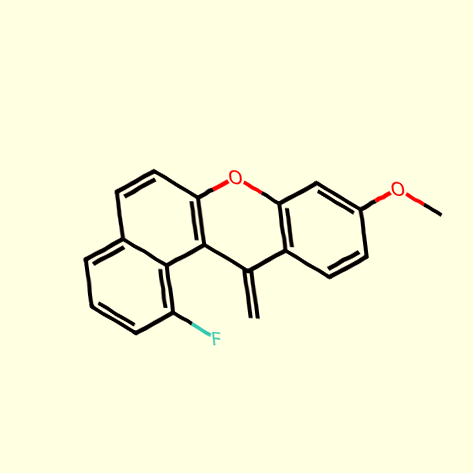 C=C1c2ccc(OC)cc2Oc2ccc3cccc(F)c3c21